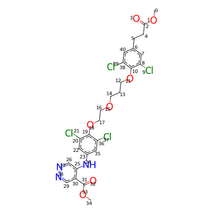 COC(=O)CCc1cc(Cl)c(OCCCOCCOc2c(Cl)cc(Nc3cnncc3C(=O)OC)cc2Cl)c(Cl)c1